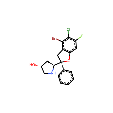 O[C@H]1CN[C@H]([C@@]2(c3ccccc3)Cc3c(cc(F)c(Cl)c3Br)O2)C1